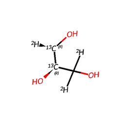 [2H][13C@@H](O)[13C@H](O)C([2H])([2H])O